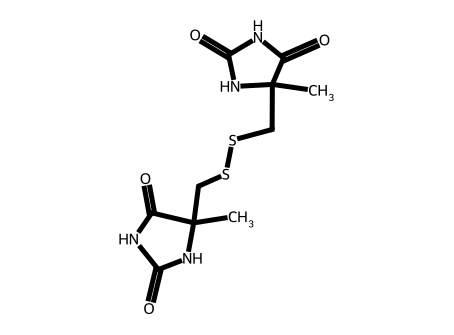 CC1(CSSCC2(C)NC(=O)NC2=O)NC(=O)NC1=O